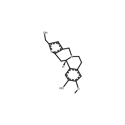 COc1cc2c(cc1O)[C@@H]1Cc3sc(CO)cc3CN1CC2